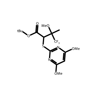 COc1cc(OC)nc(SC(C(=O)OC(C)(C)C)C(C)(OC)C(F)(F)F)n1